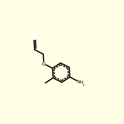 C=CCOc1ccc(N)cc1C